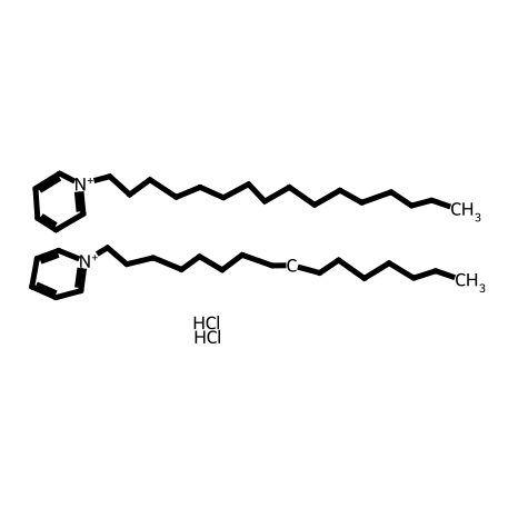 CCCCCCCCCCCCCCCC[n+]1ccccc1.CCCCCCCCCCCCCCCC[n+]1ccccc1.Cl.Cl